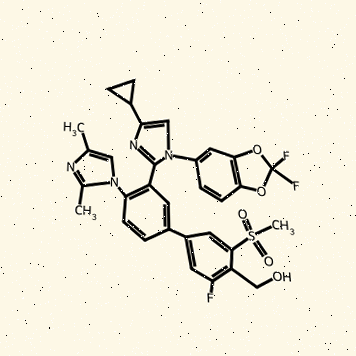 Cc1cn(-c2ccc(-c3cc(F)c(CO)c(S(C)(=O)=O)c3)cc2-c2nc(C3CC3)cn2-c2ccc3c(c2)OC(F)(F)O3)c(C)n1